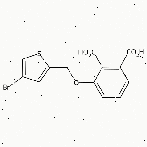 O=C(O)c1cccc(OCc2cc(Br)cs2)c1C(=O)O